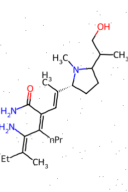 CCCC(=C(\C=C(/C)[C@H]1CCC(C(C)CO)N1C)C(N)=O)/C(N)=C(\C)CC